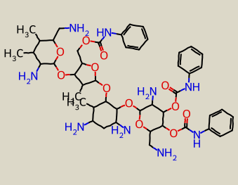 CC1C(CN)OC(OC2C(COC(=O)Nc3ccccc3)OC(OC3C(C)C(N)CC(N)C3OC3OC(CN)C(OC(=O)Nc4ccccc4)C(OC(=O)Nc4ccccc4)C3N)C2C)C(N)C1C